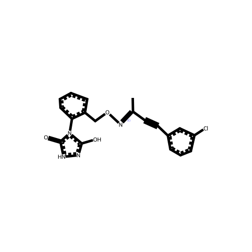 C/C(C#Cc1cccc(Cl)c1)=N\OCc1ccccc1-n1c(O)n[nH]c1=O